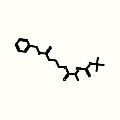 CC(NC(=O)OC(C)(C)C)C(=O)OCCCC(=O)OCc1ccccc1